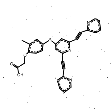 Cc1cc(Sc2cc(C#Cc3ccccn3)nc(C#Cc3ccccn3)c2)ccc1OCC(=O)O